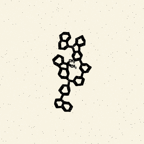 CC1(C)c2ccccc2-c2ccc(N(c3ccc(-c4cccc5ccccc45)cc3)c3cccc(-c4cccc(-c5ccc6c(c5)c5ccccc5n6-c5cccc6ccccc56)c4)c3)cc21